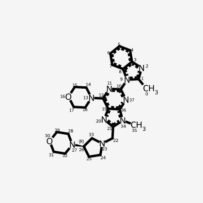 Cc1nc2ccccc2n1-c1nc(N2CCOCC2)c2nc(CN3CC[C@@H](N4CCOCC4)C3)n(C)c2n1